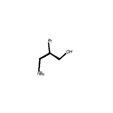 CCCCCC(CO)C(C)C